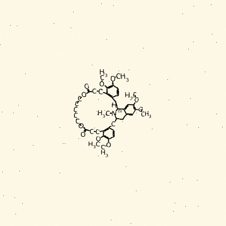 COc1cc2c(cc1OC)[C@@H]1Cc3ccc(OC)c(OC)c3CCC(=O)OCCCCCOC(=O)CCc3c(ccc(OC)c3OC)CC(C2)N1C